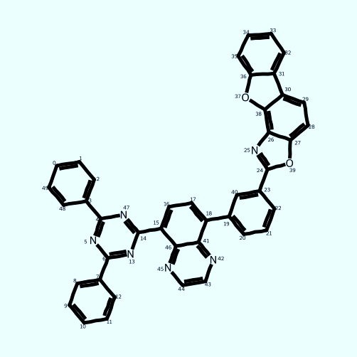 c1ccc(-c2nc(-c3ccccc3)nc(-c3ccc(-c4cccc(-c5nc6c(ccc7c8ccccc8oc76)o5)c4)c4nccnc34)n2)cc1